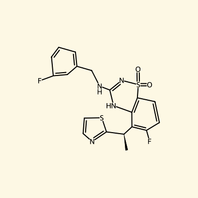 C[C@@H](c1nccs1)c1c(F)ccc2c1NC(NCc1cccc(F)c1)=NS2(=O)=O